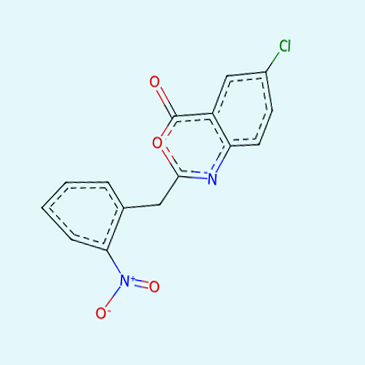 O=c1oc(Cc2ccccc2[N+](=O)[O-])nc2ccc(Cl)cc12